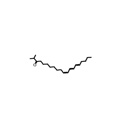 CCCC/C=C/C=C/C=C\CCCCCCCC(=O)C(C)C